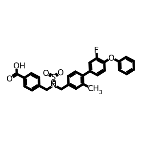 Cc1cc(CN(Cc2ccc(C(=O)O)cc2)[SH](=O)=O)ccc1-c1ccc(Oc2ccccc2)c(F)c1